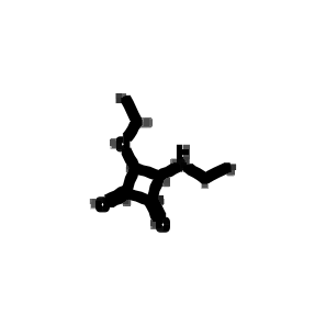 [CH2]CNC1C(=O)C(=O)C1OCC